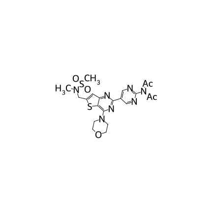 CC(=O)N(C(C)=O)c1ncc(-c2nc(N3CCOCC3)c3sc(CN(C)S(C)(=O)=O)cc3n2)cn1